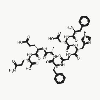 C[C@H](NC(=O)[C@H](Cc1ccccc1)NC(=O)CNC(=O)[C@H](Cc1c[nH]cn1)NC(=O)[C@H](CC(=O)O)NC(=O)[C@@H](N)Cc1ccccc1)C(=O)N[C@@H](CCC(=O)O)C(=O)N[C@@H](CCC(N)=O)C(=O)O